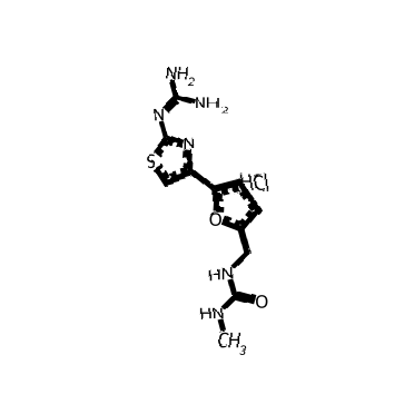 CNC(=O)NCc1ccc(-c2csc(N=C(N)N)n2)o1.Cl